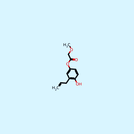 C=CCc1cc(OC(=O)COC)ccc1O